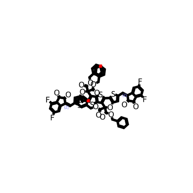 O=C1C(=O)c2c(F)cc(F)cc2/C1=C/c1cc2c(s1)-c1sc3c4c(sc3c1C(C(=O)OCc1ccccc1)(C(=O)OCc1ccccc1)O2)-c1sc(/C=C2\C(=O)C(=O)c3c(F)cc(F)cc32)cc1OC4(C(=O)OCc1ccccc1)C(=O)OCc1ccccc1